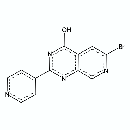 Oc1nc(-c2ccncc2)nc2cnc(Br)cc12